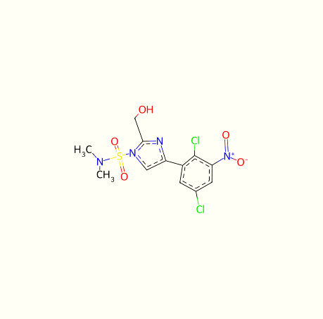 CN(C)S(=O)(=O)n1cc(-c2cc(Cl)cc([N+](=O)[O-])c2Cl)nc1CO